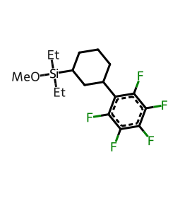 CC[Si](CC)(OC)C1CCCC(c2c(F)c(F)c(F)c(F)c2F)C1